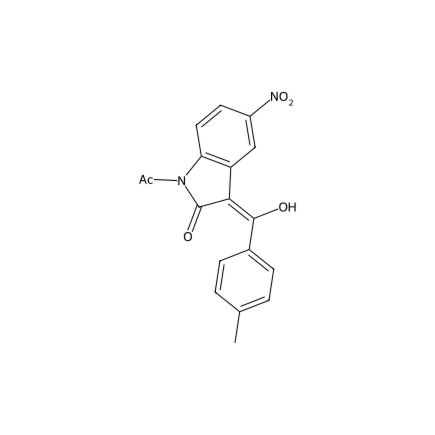 CC(=O)N1C(=O)C(=C(O)c2ccc(C)cc2)c2cc([N+](=O)[O-])ccc21